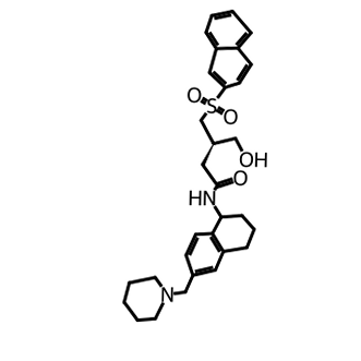 O=C(C[C@H](CO)CS(=O)(=O)c1ccc2ccccc2c1)NC1CCCc2cc(CN3CCCCC3)ccc21